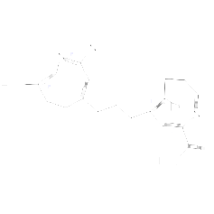 CC(=O)C1=C/C(CCC/C2=C/C(N)=N\C=C(/C)CC2)=C(\C)CC/C=N\1